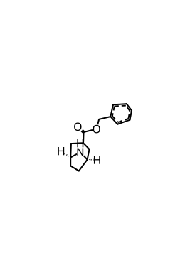 O=C(OCc1ccccc1)C1C[C@H]2CC[C@@H](C1)N2